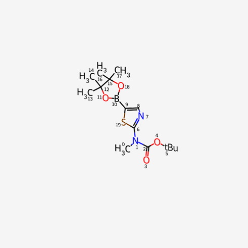 CN(C(=O)OC(C)(C)C)c1ncc(B2OC(C)(C)C(C)(C)O2)s1